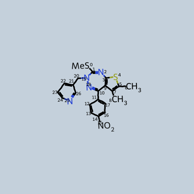 CSC1=Nc2sc(C)c(C)c2C(c2ccc([N+](=O)[O-])cc2)=NN1Cc1cccnc1